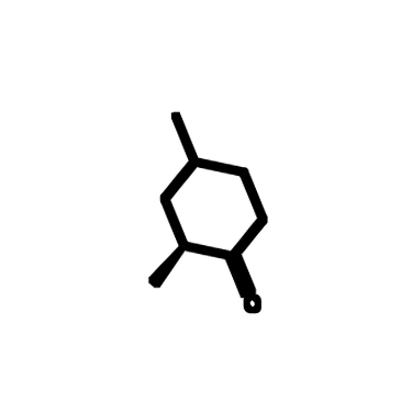 CC1CCC(=O)[C@@H](C)C1